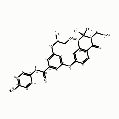 COC[C@H](C)Oc1cc(Oc2ccc3c(c2)OC(C)(C)N(COC)C3=O)cc(C(=O)Nc2cnc(C)cn2)c1